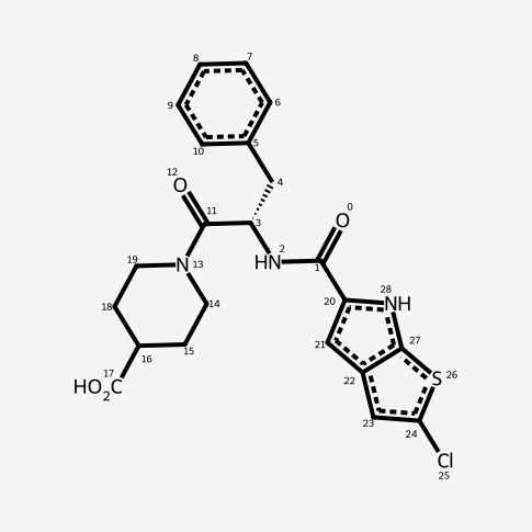 O=C(N[C@@H](Cc1ccccc1)C(=O)N1CCC(C(=O)O)CC1)c1cc2cc(Cl)sc2[nH]1